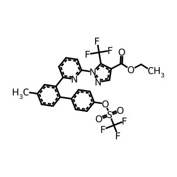 CCOC(=O)c1cnn(-c2cccc(-c3cc(C)ccc3-c3ccc(OS(=O)(=O)C(F)(F)F)cc3)n2)c1C(F)(F)F